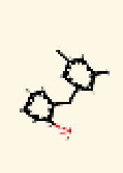 Cc1cc(C)cc(Cc2ccccc2O)c1